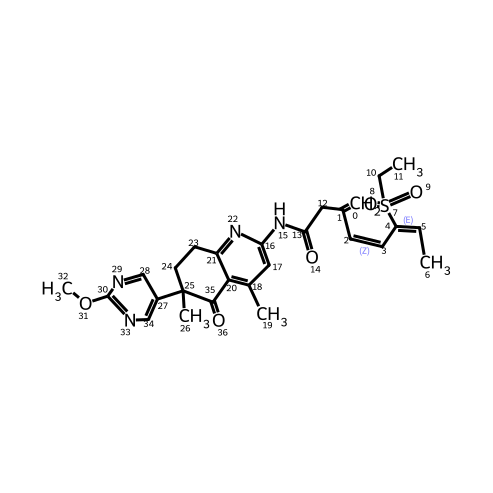 C=C(/C=C\C(=C/C)S(=O)(=O)CC)CC(=O)Nc1cc(C)c2c(n1)CCC(C)(c1cnc(OC)nc1)C2=O